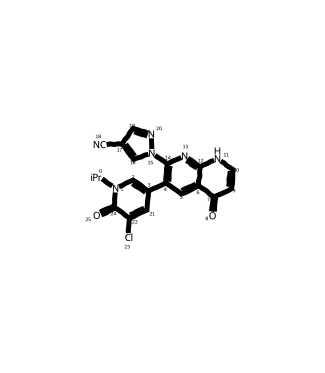 CC(C)n1cc(-c2cc3c(=O)cc[nH]c3nc2-n2cc(C#N)cn2)cc(Cl)c1=O